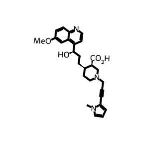 COc1ccc2nccc([C@H](O)CC[C@@H]3CCN(CC#Cc4cccn4C)C[C@@H]3C(=O)O)c2c1